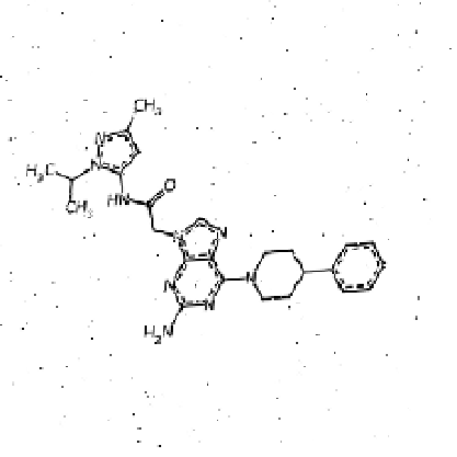 Cc1cc(NC(=O)Cn2cnc3c(N4CCC(c5ccccc5)CC4)nc(N)nc32)n(C(C)C)n1